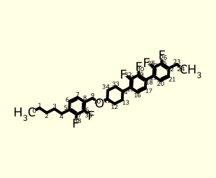 CCCCCc1ccc(COC2CCC(c3ccc(-c4ccc(CC)c(F)c4F)c(F)c3F)CC2)c(F)c1F